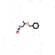 CC(CN=C=O)OCc1ccccc1